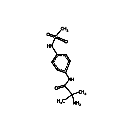 CC(C)(N)C(=O)Nc1ccc(NS(C)(=O)=O)cc1